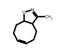 CC1=NOC2CC/C=C\CCC12